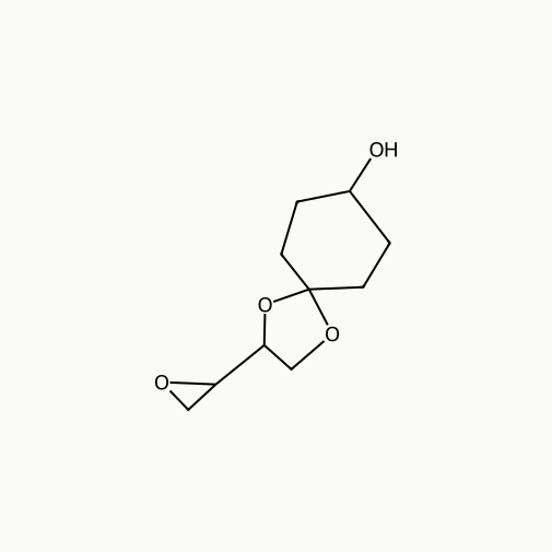 OC1CCC2(CC1)OCC(C1CO1)O2